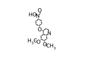 COc1cc2nccc(Oc3ccc(N(O)C=O)cc3)c2cc1OC